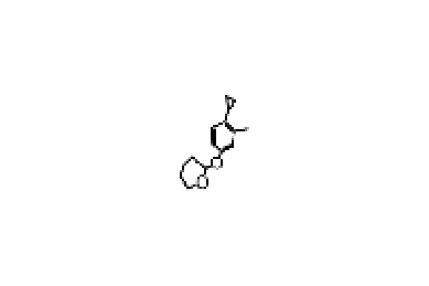 Cc1cc(OC2CCCCO2)ccc1C1CC1